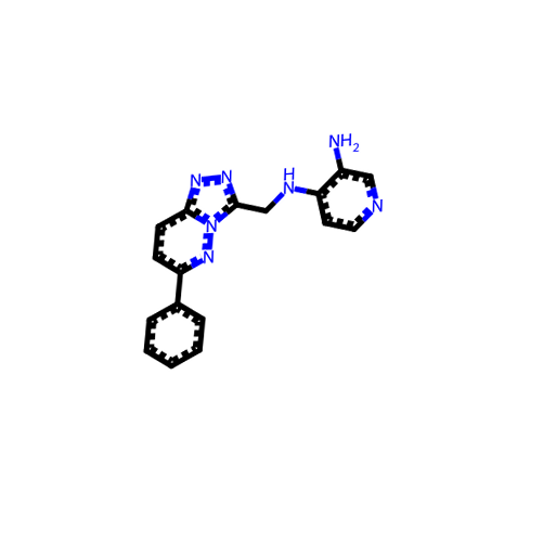 Nc1cnccc1NCc1nnc2ccc(-c3ccccc3)nn12